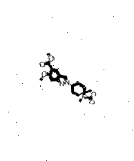 COC(=O)c1cc2cn([C@H]3CC[C@@]4(CC3)COC(=O)N4C)nc2cc1OC